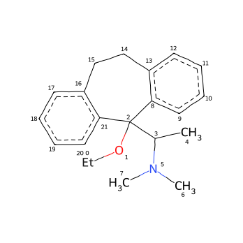 CCOC1(C(C)N(C)C)c2ccccc2CCc2ccccc21